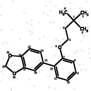 CC(C)(C)CCOc1ccccc1-c1ccc2c(c1)OCO2